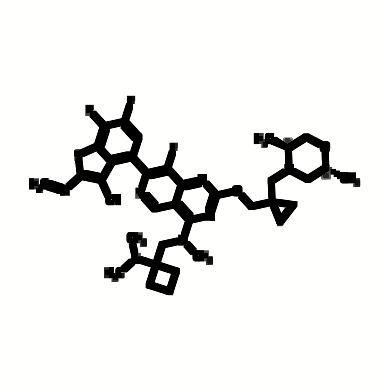 C=Nc1sc2c(F)c(F)cc(-c3ncc4c(N(C)CC5(N(C)C)CCC5)nc(OCC5(CN6C[C@@H](C)OC[C@@H]6C)CC5)nc4c3F)c2c1C#N